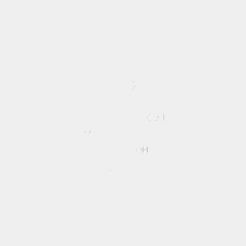 O=C(O)C(O)(c1ccco1)c1cccs1